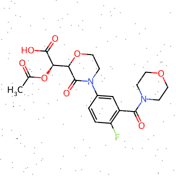 CC(=O)O[C@@H](C(=O)O)C1OCCN(c2ccc(F)c(C(=O)N3CCOCC3)c2)C1=O